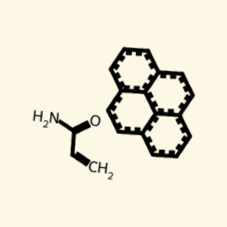 C=CC(N)=O.c1cc2ccc3cccc4ccc(c1)c2c34